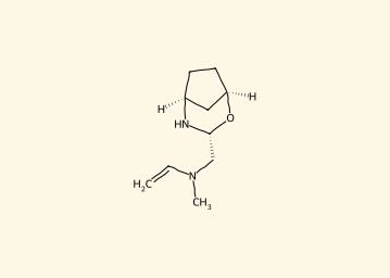 C=CN(C)C[C@@H]1N[C@H]2CC[C@H](C2)O1